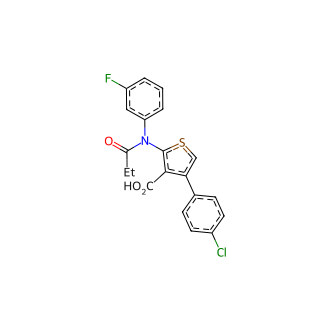 CCC(=O)N(c1cccc(F)c1)c1scc(-c2ccc(Cl)cc2)c1C(=O)O